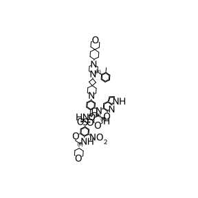 Cc1ccccc1[C@@H]1CN(C2CCC3(CCOCC3)CC2)CCN1C1CC2(CCN(c3ccc(C(=O)NS(=O)(=O)c4cc5c(c([N+](=O)[O-])c4)N[C@H](C4CCOCC4)CO5)c(N4c5cc6cc[nH]c6nc5O[C@H]5COCC[C@@H]54)c3)CC2)C1